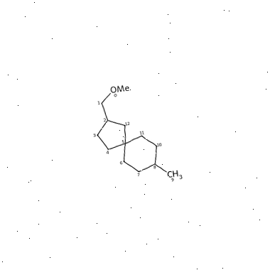 COCC1CCC2(CCC(C)CC2)C1